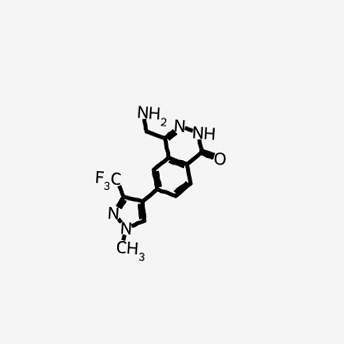 Cn1cc(-c2ccc3c(=O)[nH]nc(CN)c3c2)c(C(F)(F)F)n1